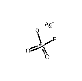 O=[Se](=O)([O-])F.[Ag+]